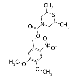 COc1cc(COC(=O)N2CC(C)SC(C)C2)c([N+](=O)[O-])cc1OC